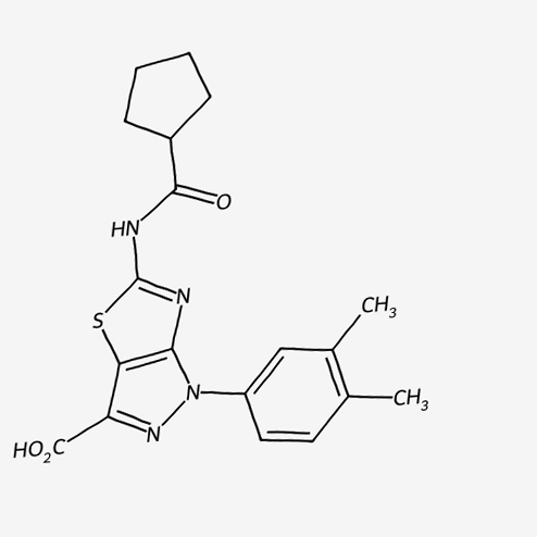 Cc1ccc(-n2nc(C(=O)O)c3sc(NC(=O)C4CCCC4)nc32)cc1C